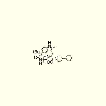 Cc1[nH]c2ccccc2c1CC(NC(=O)C(C)(C)NC(=O)OC(C)(C)C)C(=O)N1CCC(c2ccccc2)CC1